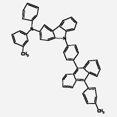 Cc1ccc(-c2c3ccccc3c(-c3ccc(-n4c5ccccc5c5cc(N(c6ccccc6)c6cccc(C)c6)ccc54)cc3)c3ccccc23)cc1